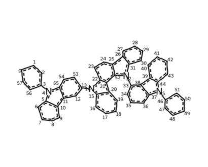 c1ccc(-n2c3ccccc3c3cc(-n4c5ccccc5c5c4ccc4c6ccccc6n(-c6cccc7c6c6ccccc6n7-c6ccccc6)c45)ccc32)cc1